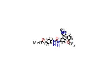 COC(=O)Cc1ccc(CNC(=O)Nc2ccc(-c3ccccc3OC(F)(F)F)c(-c3cnn(C)c3)c2)cc1